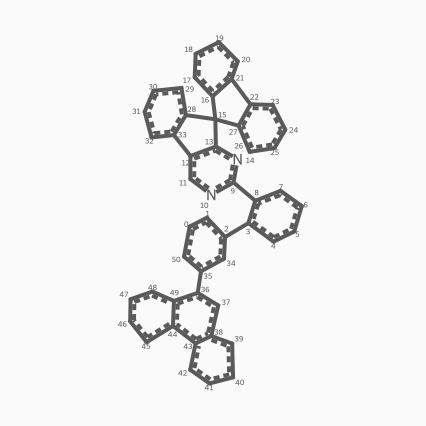 c1cc(-c2ccccc2-c2ncc3c(n2)C2(c4ccccc4-c4ccccc42)c2ccccc2-3)cc(-c2cc3ccccc3c3ccccc23)c1